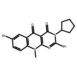 CC(C)c1nc2c(c(=O)c3cc(Br)ccc3n2C)c(=O)n1C1CCCC1